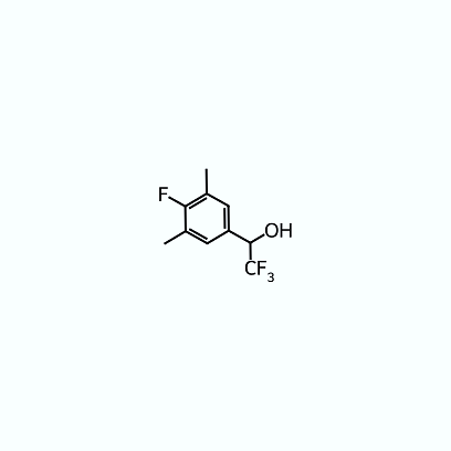 Cc1cc(C(O)C(F)(F)F)cc(C)c1F